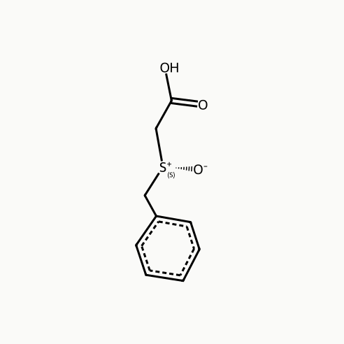 O=C(O)C[S@+]([O-])Cc1ccccc1